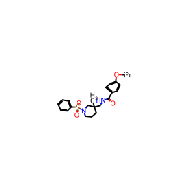 CC(C)Oc1ccc(C(=O)NCC2(C)CCCN(S(=O)(=O)c3ccccc3)C2)cc1